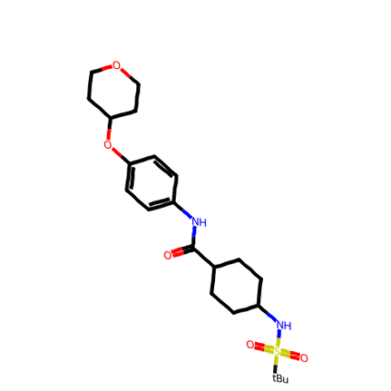 CC(C)(C)S(=O)(=O)NC1CCC(C(=O)Nc2ccc(OC3CCOCC3)cc2)CC1